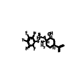 C=C(C)[C@H]1CC[C@@](N)(S[PH](=S)Sc2c(F)c(F)c(F)c(F)c2F)[C@H](O)C1